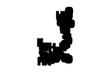 O=C1CCC(N2C(=O)c3ccc(N4CC(OC5CCN(c6ccc(C(=O)Nc7n[nH]c8ccc(Cc9cc(F)cc(F)c9)cc78)c(NC7CCOCC7)c6)CC5)C4)cc3C2=O)C(=O)N1